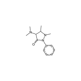 CC1C(N(C)C)C(=O)N(c2ccccc2)N1C